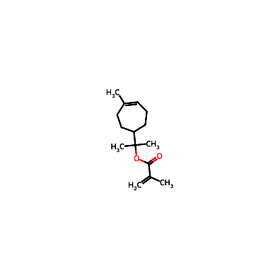 C=C(C)C(=O)OC(C)(C)C1CCC=C(C)CC1